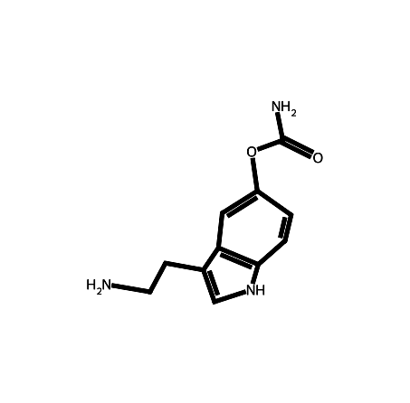 NCCc1c[nH]c2ccc(OC(N)=O)cc12